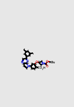 Cc1cc(C)cc(-c2cnc3ccn(-c4ccc(C(=O)O)c(OC5CN(C(=O)OC(C)(C)C)C5)c4)c3n2)c1